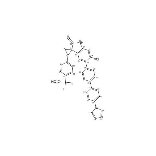 CC(C)(C(=O)O)c1ccc(C2CC23C(=O)Nc2cc(Cl)c(-c4ccc(-c5ccc(-n6cncn6)cc5)cc4)cc23)cc1